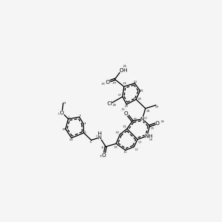 COc1ccc(CNC(=O)c2ccc3[nH]c(=O)n(C(C)c4ccc(C(=O)O)c(Cl)c4)c(=O)c3c2)cc1